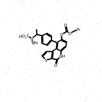 CC(C)OC(=O)Oc1ccc2[nH]c(=O)c3sccc3c2c1-c1ccc(C(C)N(C(=O)O)C(C)(C)C)cc1